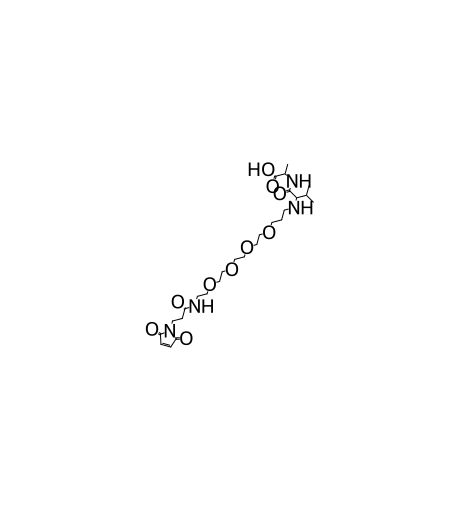 CC(NC(=O)C(NCCCOCCOCCOCCOCCNC(=O)CCN1C(=O)C=CC1=O)C(C)C)C(=O)O